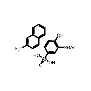 CC(=O)Nc1cc([As](=O)(O)O)ccc1O.FC(F)(F)c1ccc2ccccc2c1